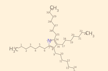 CCCCCCCC1=C(CCCCCCC)C(CCCCCCC)=C(CCCCCCC)[N]1